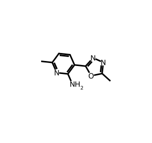 Cc1ccc(-c2nnc(C)o2)c(N)n1